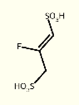 O=S(=O)(O)C=C(F)CS(=O)(=O)O